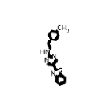 Cc1ccc(CCNc2n[c]c(-c3nc4ccccc4s3)cn2)cc1